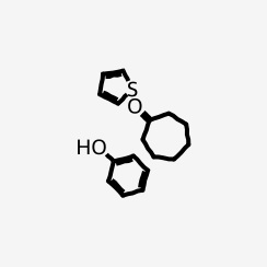 O=C1CCCCCC1.Oc1ccccc1.c1ccsc1